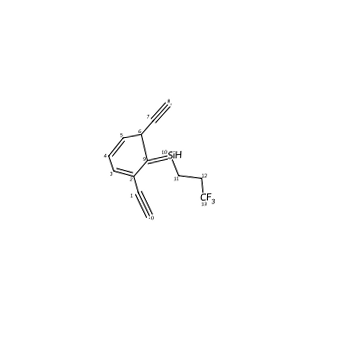 [C]#CC1=CC=CC(C#[C])C1=[SiH]CCC(F)(F)F